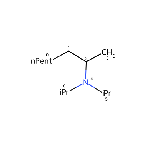 CCCCCCC(C)N(C(C)C)C(C)C